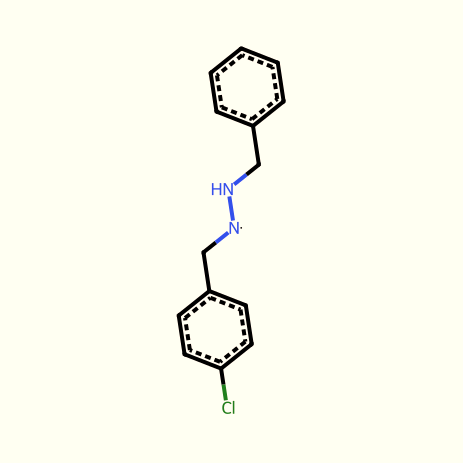 Clc1ccc(C[N]NCc2ccccc2)cc1